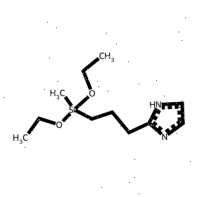 CCO[Si](C)(CCCc1ncc[nH]1)OCC